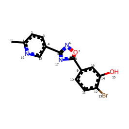 Cc1ccc(-c2noc(-c3ccc(Br)c(O)c3)n2)cn1